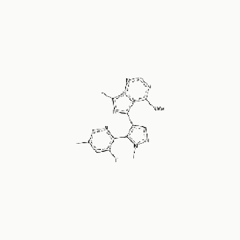 CNc1ncnn2c(C)nc(-c3cnn(C)c3-c3ncc(C)cc3F)c12